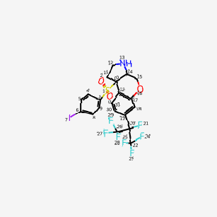 O=S(=O)(c1ccc(I)cc1)C12CCNC1COc1cc(C(F)(C(F)(F)F)C(F)(F)F)ccc12